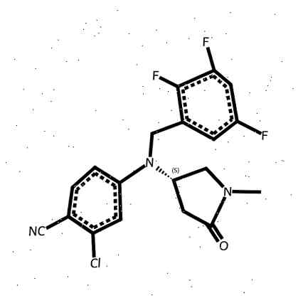 CN1C[C@@H](N(Cc2cc(F)cc(F)c2F)c2ccc(C#N)c(Cl)c2)CC1=O